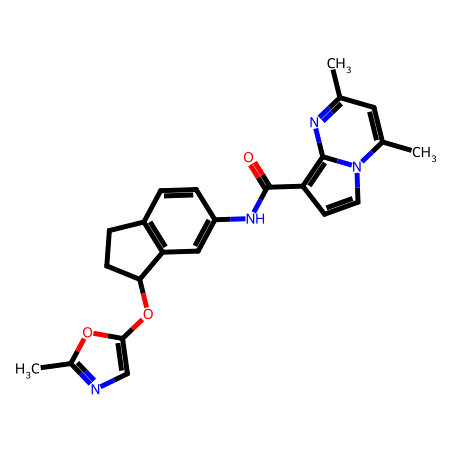 Cc1cc(C)n2ccc(C(=O)Nc3ccc4c(c3)C(Oc3cnc(C)o3)CC4)c2n1